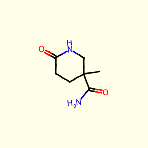 CC1(C(N)=O)CCC(=O)NC1